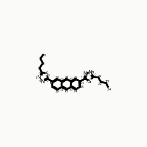 CCCCc1nnc(-c2ccc3cc4ccc(-c5nnc(CCCC)s5)cc4cc3c2)s1